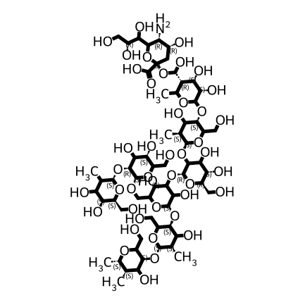 CC1C(O)[C@H](O)[C@H](CO)O[C@H]1O[C@@H]1C(O)[C@H](O)C(CO)O[C@@H]1OCC1O[C@@H](O[C@@H]2C(CO)O[C@@H](O[C@@H]3C(CO)O[C@@H](C)[C@@H](C)C3O)[C@@H](C)C2O)C(O)C(O[C@H]2O[C@H](CO)[C@@H](O)C(O)C2O[C@@H]2OC(CO)[C@@H](OC3OC(C)[C@H](C(O)O[C@]4(C(=O)O)C[C@@H](O)[C@@H](N)C(C(O)[C@H](O)CO)O4)[C@H](O)[C@@H]3O)C(O)[C@@H]2C)[C@@H]1O